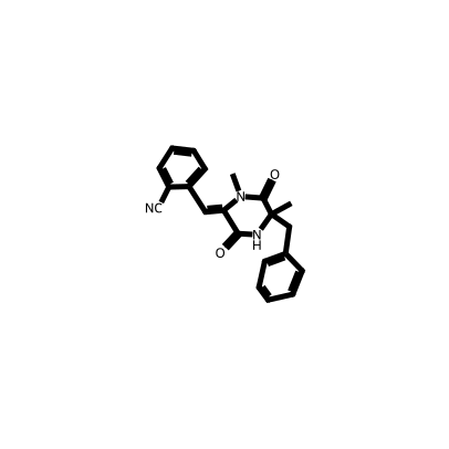 CN1C(=O)C(C)(Cc2ccccc2)NC(=O)C1=Cc1ccccc1C#N